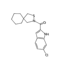 O=C(c1cc2ccc(Cl)cc2[nH]1)N1CC2(CCCCC2)CS1